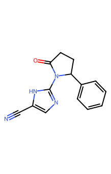 N#Cc1cnc(N2C(=O)CCC2c2ccccc2)[nH]1